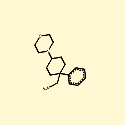 NCC1(c2ccccc2)CCC(N2CCOCC2)CC1